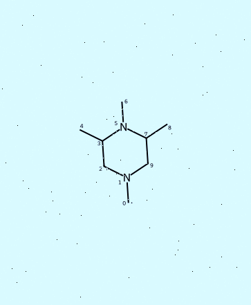 [CH2]N1CC(C)N(C)C(C)C1